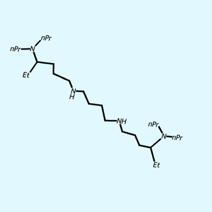 CCCN(CCC)C(CC)CCCNCCCCNCCCC(CC)N(CCC)CCC